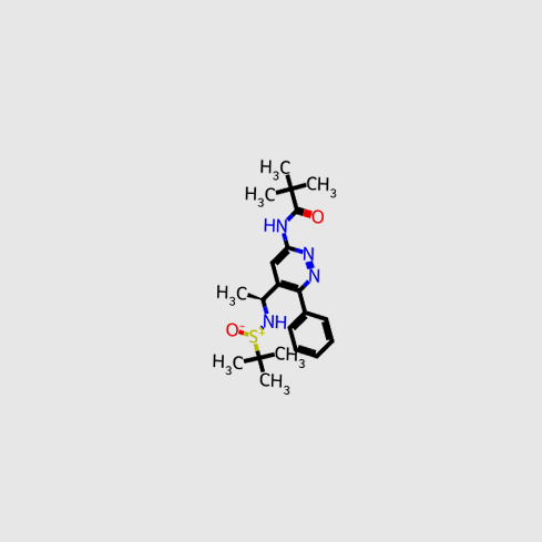 C[C@H](N[S+]([O-])C(C)(C)C)c1cc(NC(=O)C(C)(C)C)nnc1-c1ccccc1